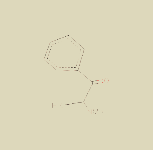 [CH2]C(NC)C(=O)c1ccccc1